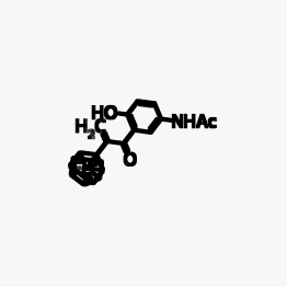 C=C(C(=O)c1cc(NC(C)=O)ccc1O)[C]12[CH]3[CH]4[CH]5[CH]1[Fe]45321678[CH]2[CH]1[CH]6[CH]7[CH]28